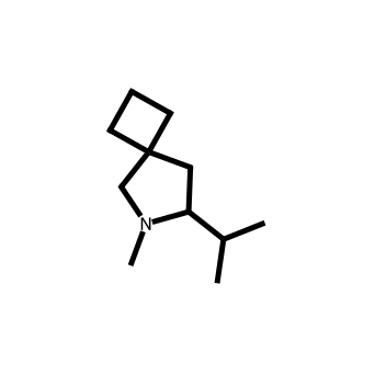 CC(C)C1CC2(CCC2)CN1C